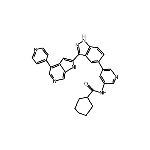 O=C(Nc1cncc(-c2ccc3[nH]nc(-c4cc5c(-c6ccncc6)cncc5[nH]4)c3c2)c1)C1CCCCC1